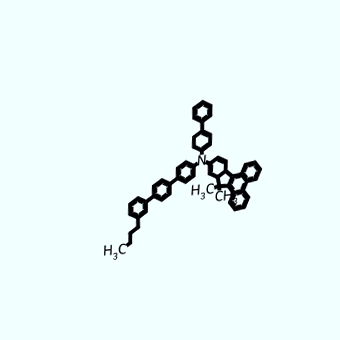 CCCCc1cccc(-c2ccc(-c3ccc(N(C4=CC5C(C=C4)c4c(c6ccccc6c6ccccc46)C5(C)C)C4=CC=C(c5ccccc5)CC4)cc3)cc2)c1